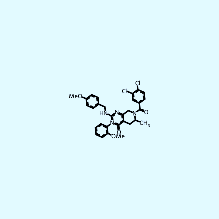 COc1ccc(CNc2nc3c(c(=O)n2-c2ccccc2OC)CC(C)N(C(=O)c2ccc(Cl)c(Cl)c2)C3)cc1